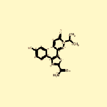 CC(C)n1nc(-c2sc(C(N)=O)nc2-c2ccc(F)cc2)ccc1=O